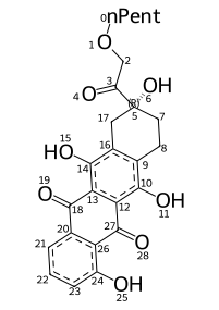 CCCCCOCC(=O)[C@@]1(O)CCc2c(O)c3c(c(O)c2C1)C(=O)c1cccc(O)c1C3=O